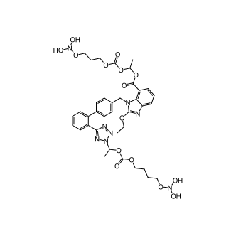 CCOc1nc2cccc(C(=O)OC(C)OC(=O)OCCCON(O)O)c2n1Cc1ccc(-c2ccccc2-c2nnn(C(C)OC(=O)OCCCCON(O)O)n2)cc1